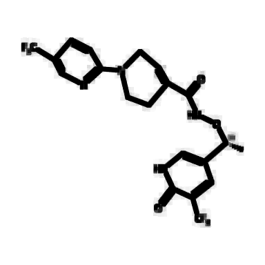 C[C@@H](ONC(=O)C1=CCN(c2ccc(C(F)(F)F)cn2)CC1)c1c[nH]c(=O)c(C(F)(F)F)c1